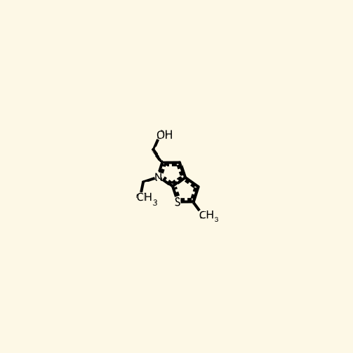 CCn1c(CO)cc2cc(C)sc21